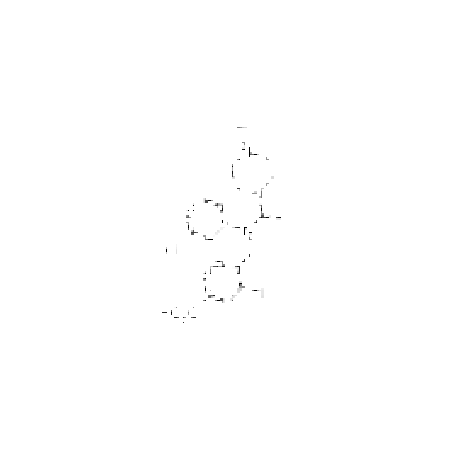 CN1CCN(C(=O)N(Cc2ccc(C(=O)O)cc2F)c2cccc(Cl)c2)CC1